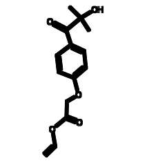 C=COC(=O)COc1ccc(C(=O)C(C)(C)O)cc1